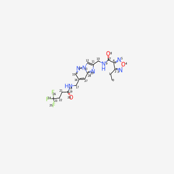 CCc1nonc1C(=O)NCc1cn2ncc(CNC(=O)CCC(F)(F)F)cc2n1